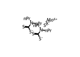 CCCN(CCC)C(=S)[S-].CCCN(CCC)C(=S)[S-].[Mo+6].[S-2].[S-2]